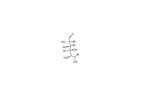 O=C[C@@](O)(Br)[C@](O)(Br)[C@@](O)(Br)[C@H](O)C(O)Br